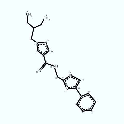 CCC(CC)Cn1cc(C(=O)NCc2nnc(-c3ccccc3)s2)nn1